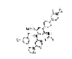 C=CC(=O)Nc1cc(Nc2cc(N3OCC[C@@H]3c3cc(F)cc(Cl)c3)ncn2)c(OC)cc1N1CCC(N2CCN(C3CC3)[C@H](C)C2)CC1